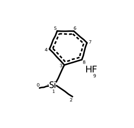 C[Si](C)c1ccccc1.F